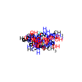 C#CC[C@H](NC(=O)CNC(=O)[C@H](CSCC(=O)N[C@@H](Cc1cc(F)c(F)c(F)c1)C(=O)N(C)[C@@H](Cc1ccccc1)C(=O)N(C)[C@@H](CCCC)C(=O)N1C[C@H](O)C[C@@H]1C(=O)N[C@@H](CC(=O)O)C(=O)N[C@H](C(=O)N(C)[C@H](C=O)Cc1ccccc1)C(C)C)NC(=O)[C@H](CC(C)C)NC(=O)[C@H](Cc1ccc(O)cc1)NC(=O)[C@H](Cc1c[nH]c2ccccc12)NC(=O)CN(CCC)C(=O)[C@@H](N)CC(=O)O)C(N)=O